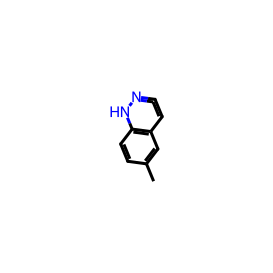 Cc1ccc2c(c1)C=C=NN2